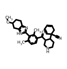 COC1CCc2nc(-c3c(C)ccc(C(=O)C4CNCCC4C4(C#N)C=CC=CC4)c3C)[nH]c2C1